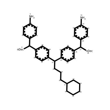 CCCCCCCCCCC(c1ccc(N)cc1)c1ccc(C(CCCC2CCCCC2)c2ccc(C(CCCCCCCCCC)c3ccc(N)cc3)cc2)cc1